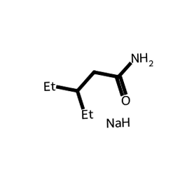 CCC(CC)CC(N)=O.[NaH]